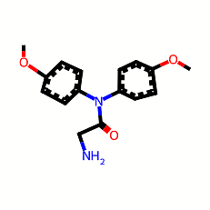 COc1ccc(N(C(=O)CN)c2ccc(OC)cc2)cc1